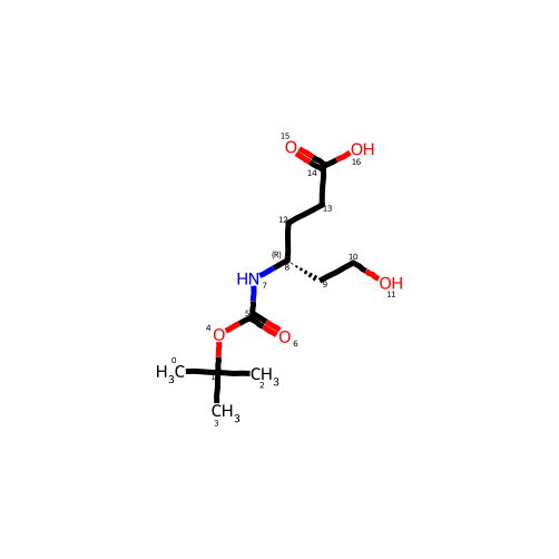 CC(C)(C)OC(=O)N[C@@H](CCO)CCC(=O)O